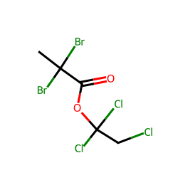 CC(Br)(Br)C(=O)OC(Cl)(Cl)CCl